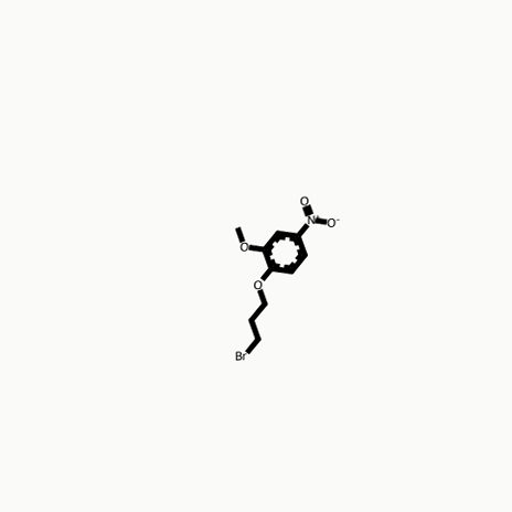 COc1cc([N+](=O)[O-])ccc1OCCCBr